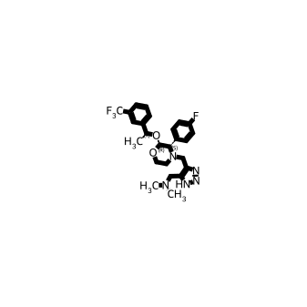 C[C@@H](O[C@H]1OCCN(Cc2nn[nH]c2CN(C)C)[C@H]1c1ccc(F)cc1)c1cccc(C(F)(F)F)c1